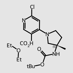 CC(C)(C)OC(=O)N[C@@]1(C)CCN(c2cc(Cl)ncc2C(=O)O)C1.CCOCC